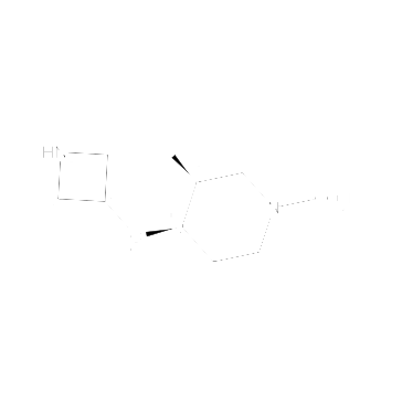 O=C(O)N1CC[C@@H](OC2CNC2)[C@@H](F)C1